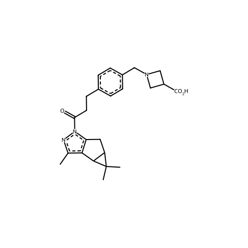 Cc1nn(C(=O)CCc2ccc(CN3CC(C(=O)O)C3)cc2)c2c1C1C(C2)C1(C)C